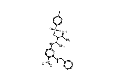 Cc1ccc(S(=O)(=O)OC(C(=N)N)C(N)Nc2ccc([N+](=O)[O-])c(NCc3ccccc3)n2)cc1